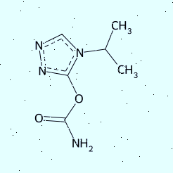 CC(C)n1cnnc1OC(N)=O